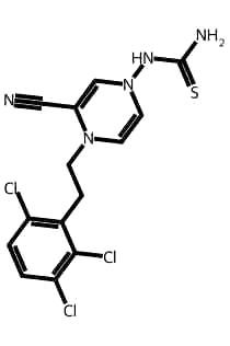 N#CC1=CN(NC(N)=S)C=CN1CCc1c(Cl)ccc(Cl)c1Cl